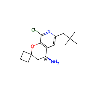 CC(C)(C)Cc1cc2c(c(Cl)n1)OC1(CCC1)C[C@@H]2N